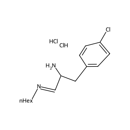 CCCCCCN=CC(N)Cc1ccc(Cl)cc1.Cl.Cl